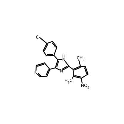 Cc1ccc([N+](=O)[O-])c(C)c1-c1nc(-c2ccncc2)c(-c2ccc(Cl)cc2)[nH]1